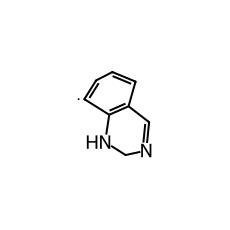 [c]1cccc2c1NCN=C2